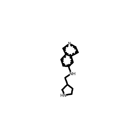 c1cc2cc(NCC3CCNC3)ccc2cn1